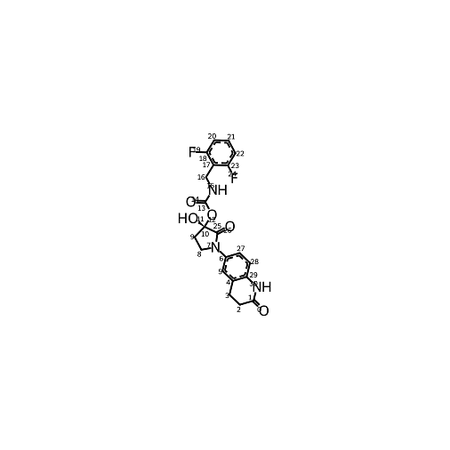 O=C1CCc2cc(N3CC[C@](O)(OC(=O)NCc4c(F)cccc4F)C3=O)ccc2N1